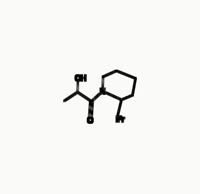 CC(O)C(=O)N1CCCCC1C(C)C